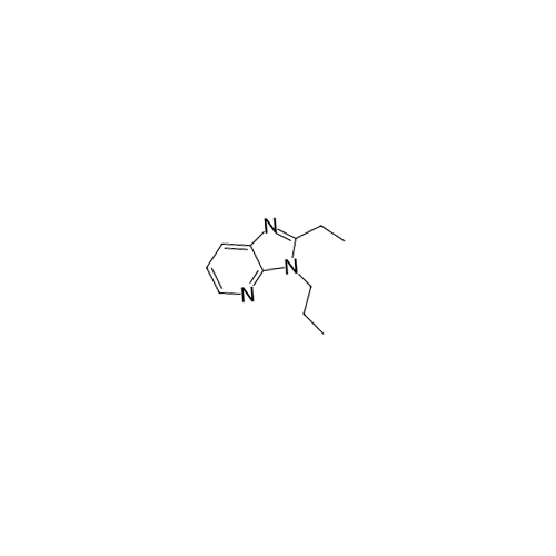 CCCn1c(CC)nc2cccnc21